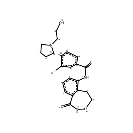 C=C(Nc1cccc2c1CCONC2=O)c1ccc([C@@H]2CCCN2CCO)c(F)c1